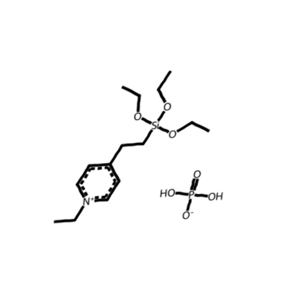 CCO[Si](CCc1cc[n+](CC)cc1)(OCC)OCC.O=P([O-])(O)O